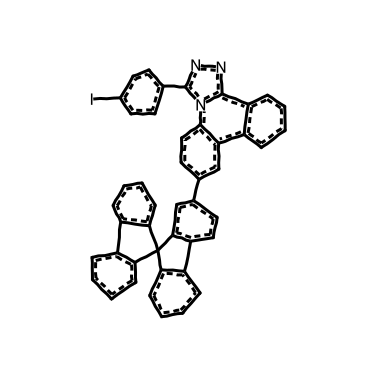 Ic1ccc(-c2nnc3c4ccccc4c4cc(-c5ccc6c(c5)C5(c7ccccc7-c7ccccc75)c5ccccc5-6)ccc4n23)cc1